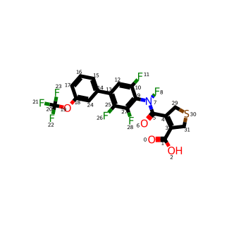 O=C(O)C1=C(C(=O)N(F)c2c(F)cc(-c3cccc(OC(F)(F)F)c3)c(F)c2F)CSC1